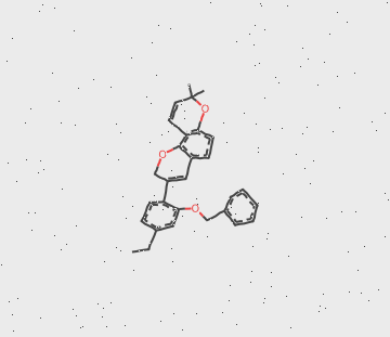 CCc1ccc(C2=Cc3ccc4c(c3OC2)C=CC(C)(C)O4)c(OCc2ccccc2)c1